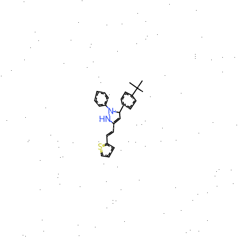 CC(C)(C)c1ccc(C2C=C(C=Cc3cccs3)NN2c2ccccc2)cc1